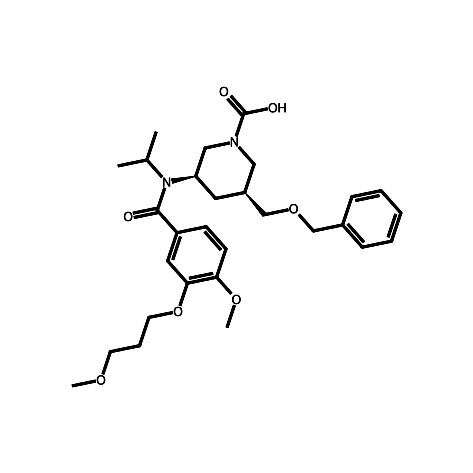 COCCCOc1cc(C(=O)N(C(C)C)[C@@H]2C[C@H](COCc3ccccc3)CN(C(=O)O)C2)ccc1OC